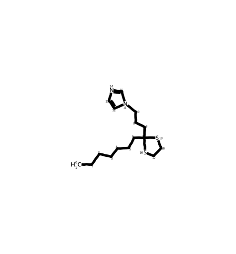 CCCCCCCC1(CCCn2ccnc2)SCCS1